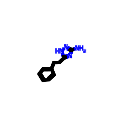 Nc1n[nH]c(CCc2ccccc2)n1